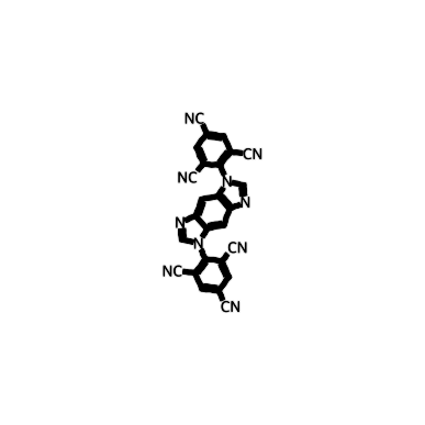 N#Cc1cc(C#N)c(-n2cnc3cc4c(cc32)ncn4-c2c(C#N)cc(C#N)cc2C#N)c(C#N)c1